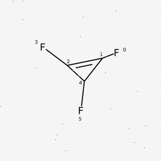 FC1=C(F)C1F